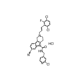 Cl.N#Cc1ccc2c3c(n(C(=O)NCc4ccnc(Cl)c4)c2c1)CCN(C/C=C/c1c(Cl)ccc(Cl)c1F)C3